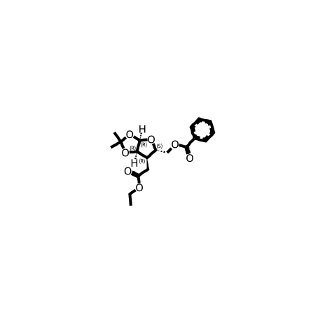 CCOC(=O)C[C@H]1[C@H]2OC(C)(C)O[C@H]2O[C@@H]1COC(=O)c1ccccc1